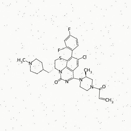 C=CC(=O)N1CCN(c2nc(=O)n3c4c(c(-c5ccc(F)cc5F)c(Cl)cc24)SC[C@H]3CC2CCN(C)CC2)[C@@H](C)C1